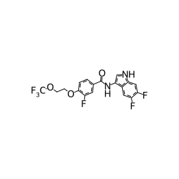 O=C(Nc1c[nH]c2cc(F)c(F)cc12)c1ccc(OCCOC(F)(F)F)c(F)c1